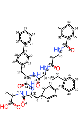 CC(NC(=O)[C@H](CC1C=CC=CC1)NC(=O)[C@@H](Cc1ccc(-c2ccccc2)cc1)NC(=O)[C@@H](CCc1ccccc1)NC(=O)CCNC(=O)c1ccccc1)C(=O)O